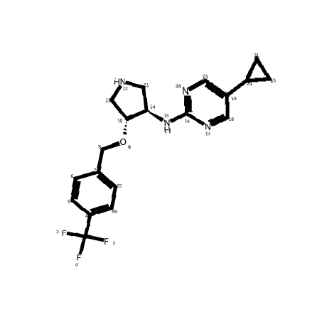 FC(F)(F)c1ccc(CO[C@@H]2CNC[C@H]2Nc2ncc(C3CC3)cn2)cc1